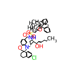 C=CCC[C@H](C[C@H](C)O[Si](c1ccccc1)(c1ccccc1)C(C)(C)C)S(=O)(=O)NC(=O)c1ccc2c(c1)N(C[C@@H]1CC[C@H]1[C@@H](O)/C=C/CCC)C[C@@]1(CCCc3cc(Cl)ccc31)CO2